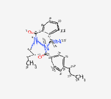 CCCCN(C(=O)c1ccccc1)N(C#N)C(=O)c1ccc(CCC)cc1